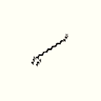 [N-]=[N+]=NCCCCCCCCCCCC(N=[N+]=[N-])N=[N+]=[N-]